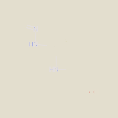 C=NNC(=S)NCCO